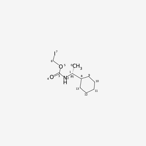 C[C@@H](NC(=O)OCI)C1CCCCC1